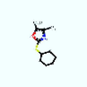 CCOC(=O)c1oc(SC2CCCCC2)nc1C(F)(F)F